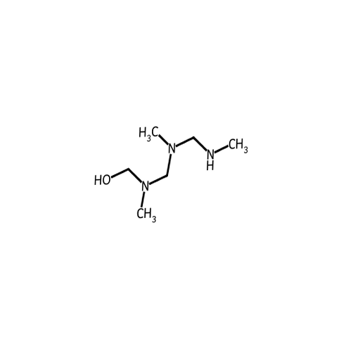 CNCN(C)CN(C)CO